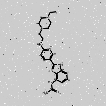 CCN1CCN(CCNc2ccc(-c3nc4c(OC(N)=O)cccc4[nH]3)cn2)CC1